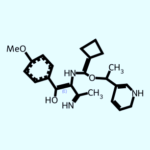 COc1ccc(/C(O)=C(\NC(OC(C)C2=CNCC=C2)=C2CCC2)C(C)=N)cc1